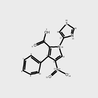 O=C(O)c1c(-c2ccccc2)c([N+](=O)[O-])cn1-c1cscn1